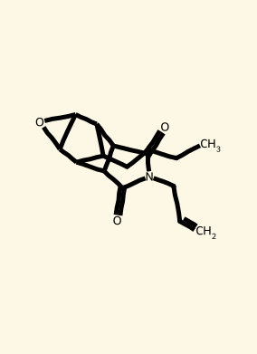 C=CCN1C(=O)C2C(C1=O)C1C(CCCC)C2C2OC21